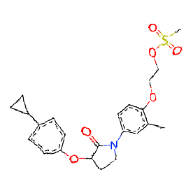 Cc1cc(N2CCC(Oc3ccc(C4CC4)cc3)C2=O)ccc1OCCOS(C)(=O)=O